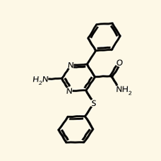 NC(=O)c1c(Sc2ccccc2)nc(N)nc1-c1ccccc1